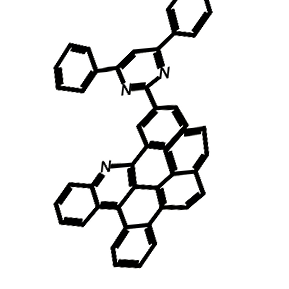 c1ccc(-c2cc(-c3ccccc3)nc(-c3cccc(-c4nc5ccccc5c5c6ccccc6c6ccc7ccccc7c6c45)c3)n2)cc1